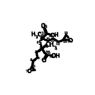 CC(CCCC1CO1)(SC(C)(CCCC1CO1)C(=O)O)C(=O)O